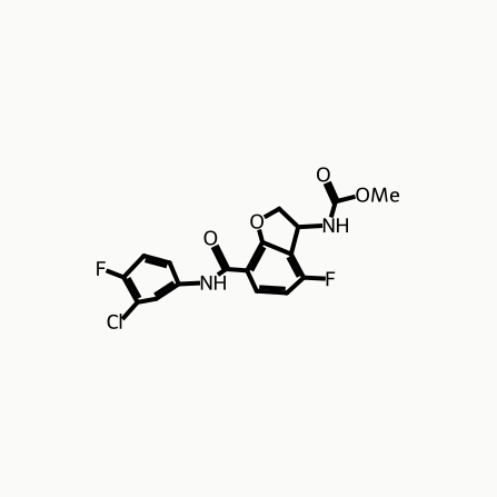 COC(=O)NC1COc2c(C(=O)Nc3ccc(F)c(Cl)c3)ccc(F)c21